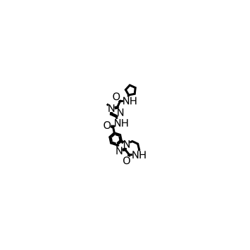 Cn1cc(NC(=O)c2ccc3nc4n(c3c2)CCCNC4=O)nc1C(=O)NC1CCCC1